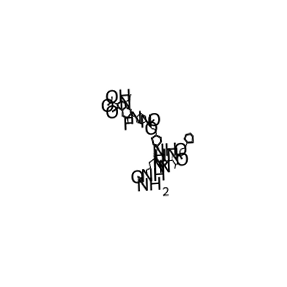 CCn1cc(C(=O)O)c(=O)c2cc(F)c(N3CCN(C(=O)OCc4ccc(NC[C@@H](CCCNC(N)=O)n5cc([C@@H](NC(=O)OCc6ccccc6)C(C)C)nn5)cc4)CC3)cc21